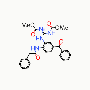 COC(=O)/N=C(/NC(=O)OC)Nc1cc(C(=O)c2ccccc2)ccc1NC(=O)Cc1ccccc1